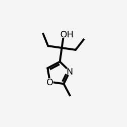 CCC(O)(CC)c1coc(C)n1